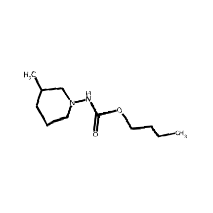 CCCCOC(=O)NN1CCCC(C)C1